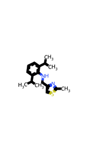 Cc1nc(CNc2c(C(C)C)cccc2C(C)C)cs1